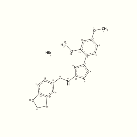 Br.COc1ccc(-c2csc(NCc3ccc4c(c3)CCO4)n2)c(OC)c1